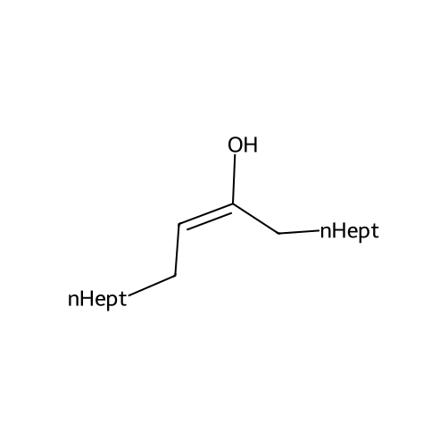 CCCCCCCC/C=C(/O)CCCCCCCC